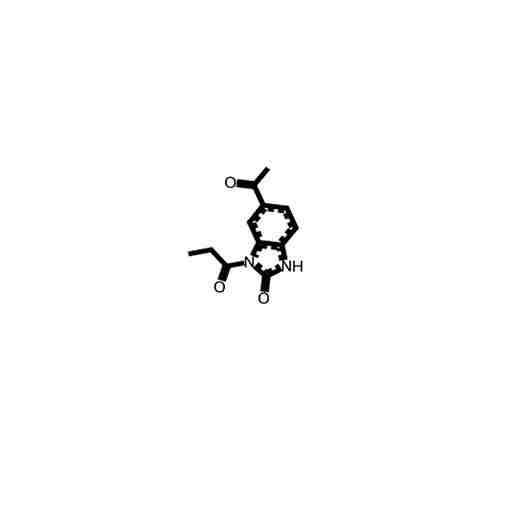 CCC(=O)n1c(=O)[nH]c2ccc(C(C)=O)cc21